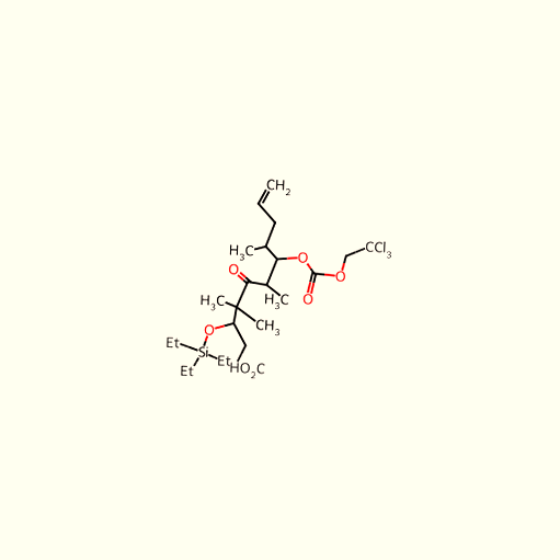 C=CCC(C)C(OC(=O)OCC(Cl)(Cl)Cl)C(C)C(=O)C(C)(C)C(CC(=O)O)O[Si](CC)(CC)CC